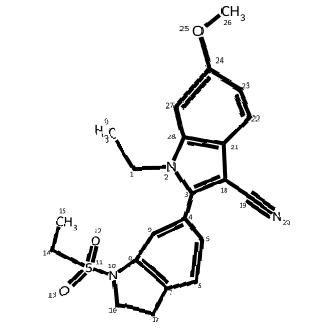 CCn1c(-c2ccc3c(c2)N(S(=O)(=O)CC)CC3)c(C#N)c2ccc(OC)cc21